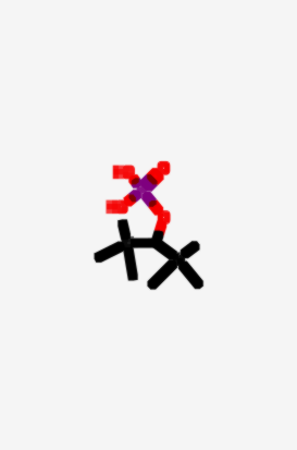 C[Si](C)(C)C(OP(=O)(O)O)[Si](C)(C)C